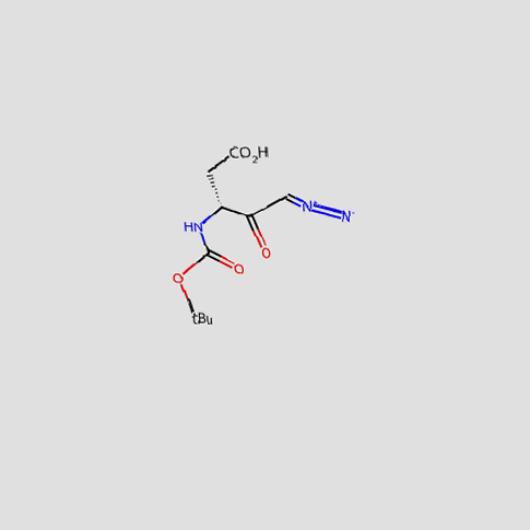 CC(C)(C)OC(=O)N[C@H](CC(=O)O)C(=O)C=[N+]=[N-]